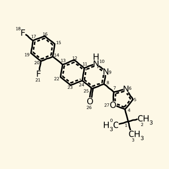 CC(C)(C)c1cnc(-c2n[nH]c3cc(-c4ccc(F)cc4F)ccc3c2=O)o1